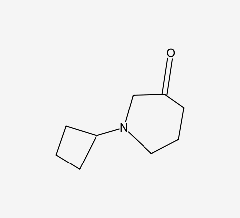 O=C1CCCN(C2CCC2)C1